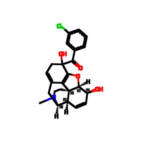 CN1CC[C@]23C4=C5O[C@H]2[C@@H](O)C=C[C@H]3[C@H]1CC4=CCC5(O)C(=O)c1cccc(Cl)c1